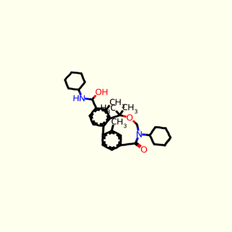 Cc1cc2ccc1-c1ccc(C(O)NC3CCCCC3)c(C)c1C(C)(C)OCN(C1CCCCC1)C2=O